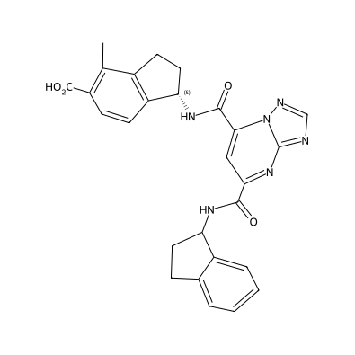 Cc1c(C(=O)O)ccc2c1CC[C@@H]2NC(=O)c1cc(C(=O)NC2CCc3ccccc32)nc2ncnn12